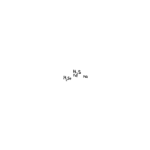 S.[Fe].[Ni].[SeH2]